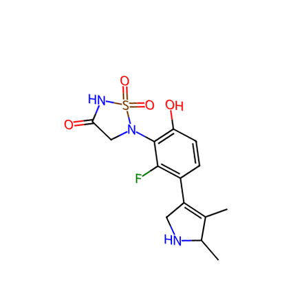 CC1=C(c2ccc(O)c(N3CC(=O)NS3(=O)=O)c2F)CNC1C